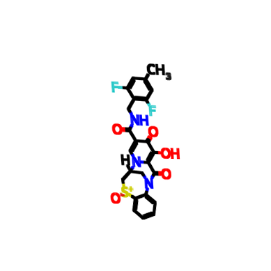 Cc1cc(F)c(CNC(=O)c2cn3c(c(O)c2=O)C(=O)N2C[C@@H]3C[S+]([O-])c3ccccc32)c(F)c1